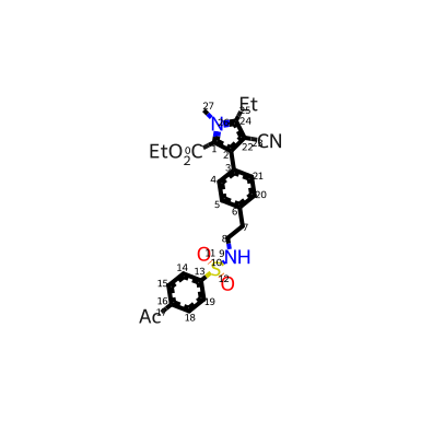 CCOC(=O)c1c(-c2ccc(CCNS(=O)(=O)c3ccc(C(C)=O)cc3)cc2)c(C#N)c(CC)n1C